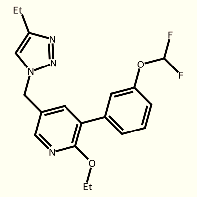 CCOc1ncc(Cn2cc(CC)nn2)cc1-c1cccc(OC(F)F)c1